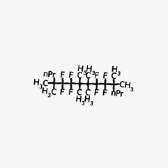 CCCC(C)(C)C(F)(F)C(F)(F)C(C)(C)C(C)(C)C(F)(F)C(F)(F)C(C)(C)CCC